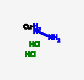 Cl.Cl.NN.[Cu]